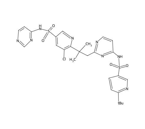 CC(C)(C)c1ccc(S(=O)(=O)Nc2ccnc(CC(C)(C)c3ncc(S(=O)(=O)Nc4ccncn4)cc3Cl)n2)cn1